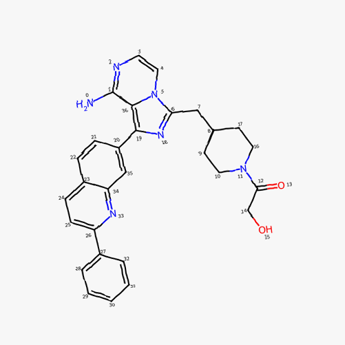 Nc1nccn2c(CC3CCN(C(=O)CO)CC3)nc(-c3ccc4ccc(-c5ccccc5)nc4c3)c12